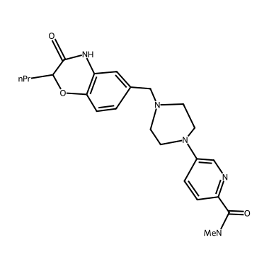 CCCC1Oc2ccc(CN3CCN(c4ccc(C(=O)NC)nc4)CC3)cc2NC1=O